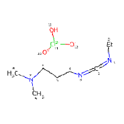 CCN=C=NCCCN(C)C.[O-][Cl+2]([O-])O